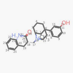 CC1C2CCCC1(c1cccc(O)c1)CCN2C[C@H](Cc1ccccc1)C(N)=O